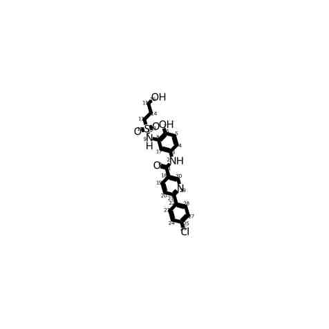 O=C(Nc1ccc(O)c(NS(=O)(=O)CCCO)c1)c1ccc(-c2ccc(Cl)cc2)nc1